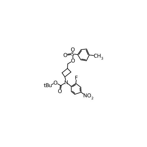 Cc1ccc(S(=O)(=O)OCC2CC(N(C(=O)OC(C)(C)C)c3ccc([N+](=O)[O-])cc3F)C2)cc1